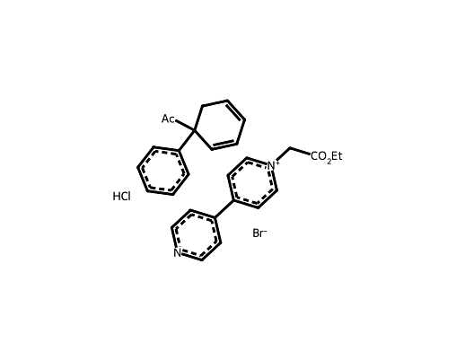 CC(=O)C1(c2ccccc2)C=CC=CC1.CCOC(=O)C[n+]1ccc(-c2ccncc2)cc1.Cl.[Br-]